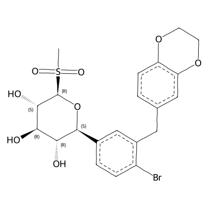 CS(=O)(=O)[C@H]1O[C@@H](c2ccc(Br)c(Cc3ccc4c(c3)OCCO4)c2)[C@H](O)[C@@H](O)[C@@H]1O